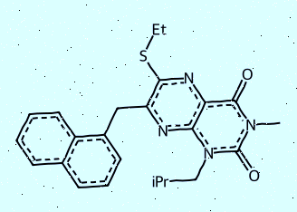 CCSc1nc2c(=O)n(C)c(=O)n(CC(C)C)c2nc1Cc1cccc2ccccc12